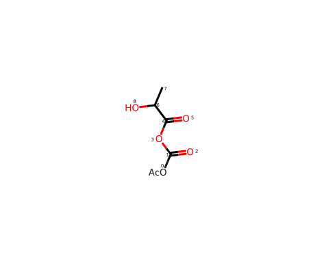 CC(=O)OC(=O)OC(=O)C(C)O